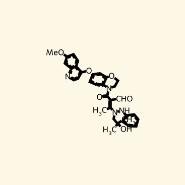 COc1ccc2c(Oc3ccc4c(c3)OCCN4C(=O)/C(C=O)=C(\C)N(CC(C)(C)O)Nc3ccccc3)ccnc2c1